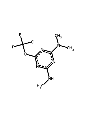 CNc1nc(OC(F)(F)Cl)nc(N(C)C)n1